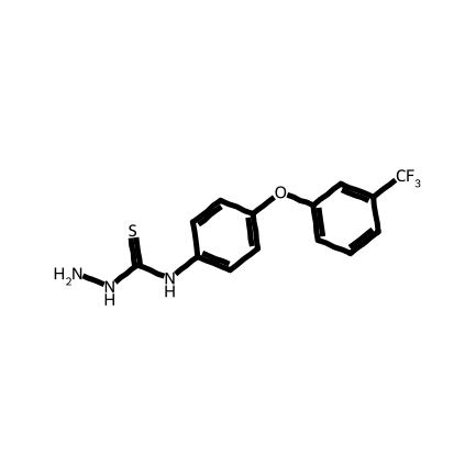 NNC(=S)Nc1ccc(Oc2cccc(C(F)(F)F)c2)cc1